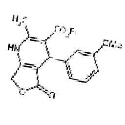 CCOC(=O)C1=C(C)NC2=C(C(=O)OC2)C1c1cccc(OC)c1